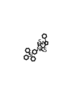 c1ccc(-c2ccc3c4scc5c4c4c(csc4n23)n5-c2ccc([Si](c3ccccc3)(c3ccccc3)c3ccccc3)cc2)cc1